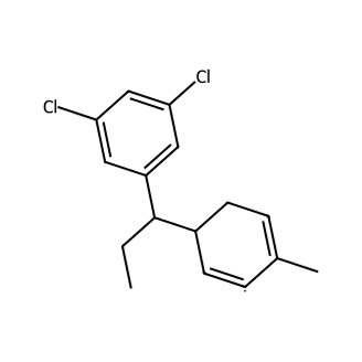 CCC(c1cc(Cl)cc(Cl)c1)C1C=[C]C(C)=CC1